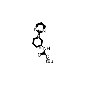 CC(C)(C)OC(=O)N[C@@H]1CCCN(c2ncccn2)C1